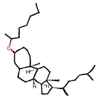 CCCCCCC(C)OC1CC[C@@]2(C)C(CC[C@H]3[C@@H]4CC[C@H](C(C)CCCC(C)C)[C@@]4(C)CC[C@@H]32)C1